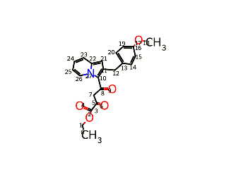 CCOC(=O)C(=O)CC(=O)c1c(Cc2ccc(OC)cc2)cc2ccccn12